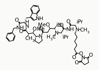 CC[C@H](C)[C@@H]([C@@H](CC(=O)N1CCC[C@H]1[C@H](OC)[C@@H](C)C(=O)N[C@@H](Cc1c[nH]c2ccccc12)C(=O)NCc1ccccc1)OC)N(C)[C@H](C(=O)NC(=O)[C@H](C(C)C)N(C)CCCCCC(=O)ON1C(=O)CCC1=O)C(C)C